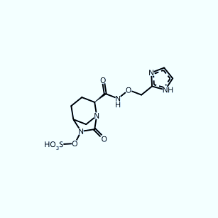 O=C(NOCc1ncc[nH]1)[C@@H]1CCC2CN1C(=O)N2OS(=O)(=O)O